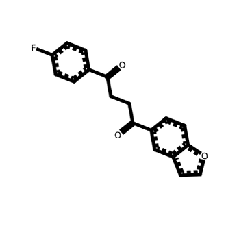 O=C(CCC(=O)c1ccc2occc2c1)c1ccc(F)cc1